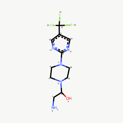 NCC(O)N1CCN(c2ncc(C(F)(F)F)cn2)CC1